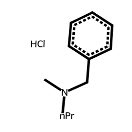 CCCN(C)Cc1ccccc1.Cl